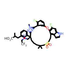 CC(Cc1cccc(C2(CNCC(F)(F)F)CCCC(C)(C)CS(=O)(=O)CCc3c(c(F)cc4[nH]ccc34)Oc3ccc(F)c(c3)-c3nc2nn3C)c1)C(=O)O